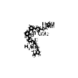 COc1nc(-c2cccc(-c3cccc(-c4ccc5c(n4)c(Cl)c(CNC[C@@H]4CCC(=O)N4)n5C)c3Cl)c2Cl)ccc1CNC[C@H]1CCC(=O)N1